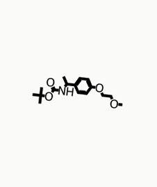 COCCOc1ccc(C(C)NC(=O)OC(C)(C)C)cc1